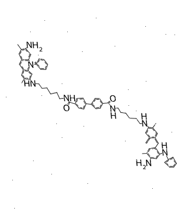 C=c1cc(NCCCCCCNC(=O)c2ccc(-c3ccc(C(=O)NCCCCCCNc4cc5c(cc4C)cc4cc(C)c(N)cc4[n+]5-c4ccccc4)cc3)cc2)c(C)c/c1=C/c1cc(C)c(N)cc1Nc1ccccc1